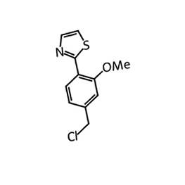 COc1cc(CCl)ccc1-c1nccs1